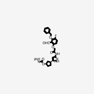 CC(C)NC(=O)O[C@@H]1CC[C@H](c2cc(NC(=O)COc3ccc(F)c(OCc4ccccc4)c3C=O)n[nH]2)C1